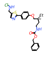 CC[C@@H](CCNC(=O)OCc1ccccc1)COc1ccc(-c2ncc(CNCl)s2)cc1